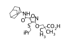 CC(C)CSc1c(OCC(C)(C)C(=O)O)noc1C(=O)NC1C2CC3CC(C2)CC1C3